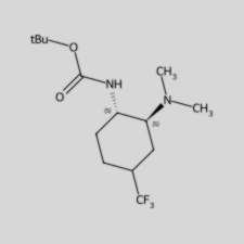 CN(C)[C@H]1CC(C(F)(F)F)CC[C@@H]1NC(=O)OC(C)(C)C